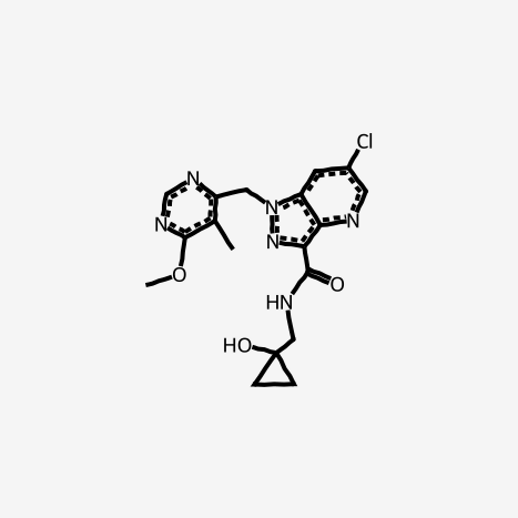 COc1ncnc(Cn2nc(C(=O)NCC3(O)CC3)c3ncc(Cl)cc32)c1C